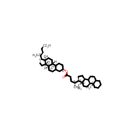 C[C@H](CCC(=O)O)[C@H]1CC[C@H]2[C@@H]3CCC4C[C@H](OC(=O)CC[C@@H](C)[C@H]5CCC6C7CCC8CCCC[C@]8(C)C7CC[C@@]65C)CC[C@]4(C)[C@H]3CC[C@]12C